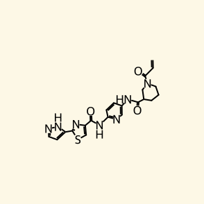 C=CC(=O)N1CCCC(C(=O)Nc2ccc(NC(=O)c3csc(-c4ccn[nH]4)n3)nc2)C1